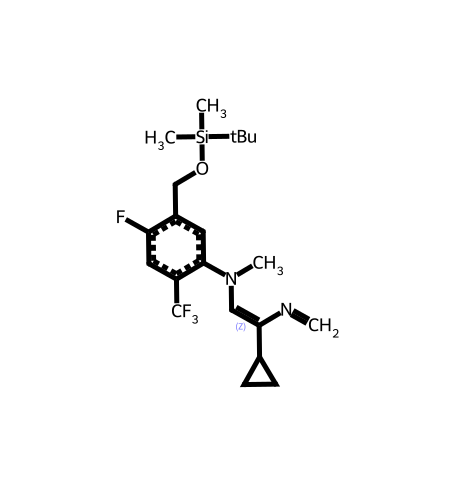 C=N/C(=C\N(C)c1cc(CO[Si](C)(C)C(C)(C)C)c(F)cc1C(F)(F)F)C1CC1